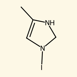 CC1=CN(I)CN1